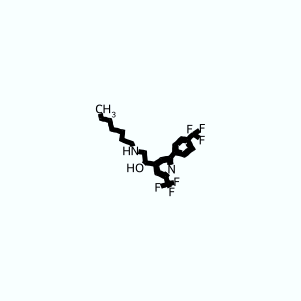 CCCCCCCNCC(O)c1cc(-c2ccc(C(F)(F)F)cc2)nc(C(F)(F)F)c1